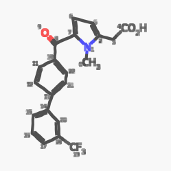 Cn1c(CC(=O)O)ccc1C(=O)c1ccc(-c2cccc(C(F)(F)F)c2)cc1